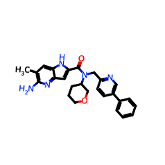 Cc1cc2[nH]c(C(=O)N(Cc3ccc(-c4ccccc4)cn3)C3CCCOC3)cc2nc1N